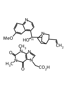 C=CC1CN2CCC1CC2[C@@H](O)c1ccnc2ccc(OC)cc12.Cn1c(=O)c2c(ncn2CC(=O)O)n(C)c1=O